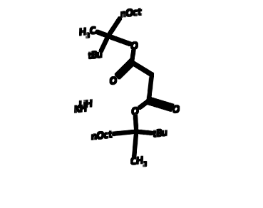 CCCCCCCCC(C)(OC(=O)CC(=O)OC(C)(CCCCCCCC)C(C)(C)C)C(C)(C)C.[KH].[LiH]